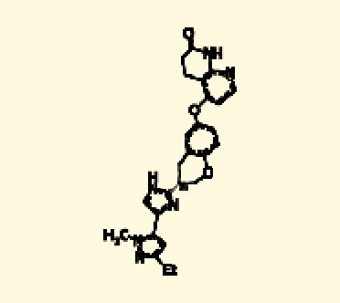 CCc1cc(-c2c[nH]c([C@H]3COc4ccc(Oc5ccnc6c5CCC(=O)N6)cc4C3)n2)n(C)n1